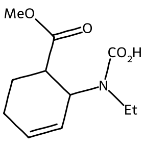 CCN(C(=O)O)C1C=CCCC1C(=O)OC